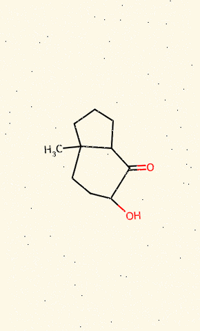 CC12CCCC1C(=O)C(O)CC2